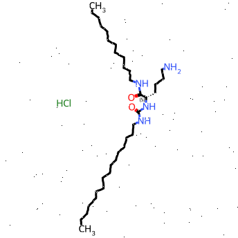 CCCCCCCCCCCCCCCCNC(=O)N[C@@H](CCCCN)C(=O)NCCCCCCCCCCCC.Cl